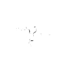 COc1ccc(C(=O)O)c2cc(C#N)oc12